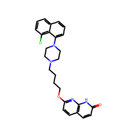 O=c1ccc2ccc(OCCCCN3CCN(c4cccc5cccc(Cl)c45)CC3)nc2[nH]1